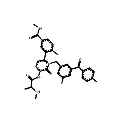 CNC(=O)c1ccc(C)c(-c2cnc(NC(=O)C(C)NC)c(=O)n2Cc2cc(F)cc(C(=O)c3ccc(F)cc3)c2)c1